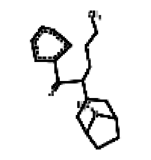 CCCCC(C(=O)c1ccccc1)C1CC2CCC(C1)N2C